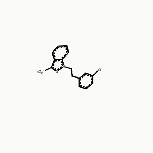 O=C(O)c1nn(CCc2cccc(Cl)c2)c2ccccc12